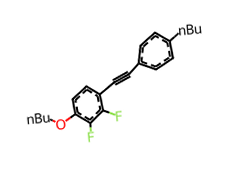 CCCCOc1ccc(C#Cc2ccc(CCCC)cc2)c(F)c1F